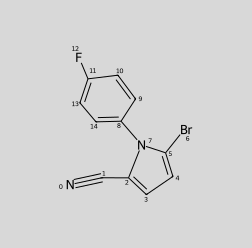 N#Cc1ccc(Br)n1-c1ccc(F)cc1